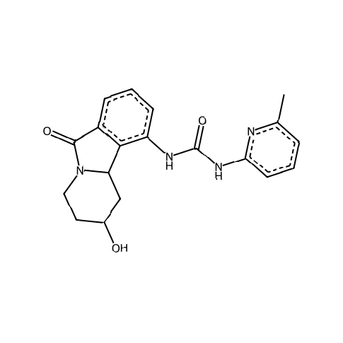 Cc1cccc(NC(=O)Nc2cccc3c2C2CC(O)CCN2C3=O)n1